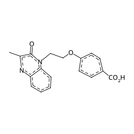 Cc1nc2ccccc2n(CCOc2ccc(C(=O)O)cc2)c1=O